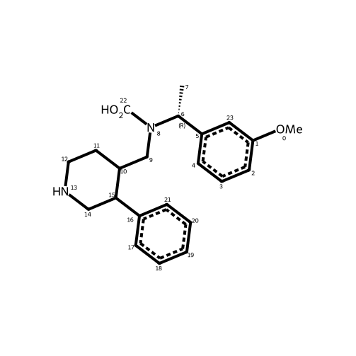 COc1cccc([C@@H](C)N(CC2CCNCC2c2ccccc2)C(=O)O)c1